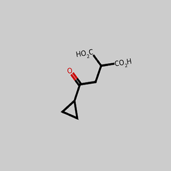 O=C(CC(C(=O)O)C(=O)O)C1CC1